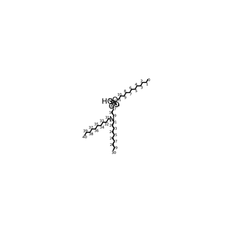 CCCCCCCCCCCCOP(=O)(O)OCCCN(CCCCCCCCCC)CCCCCCCCCC